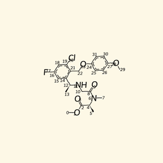 COC(=O)[C@H](C)N(C)C(=O)CN[C@@H](C)c1cc(F)cc(Cl)c1COc1ccc(OC)cc1